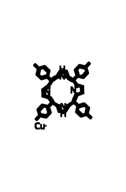 Cc1ccc(-c2c3nc(c(-c4ccc(C)cc4)c4ccc([nH]4)c(-c4ccc(C)cc4)c4nc(c(-c5ccc(C)cc5)c5ccc2[nH]5)C=C4)C=C3)cc1.[Cu]